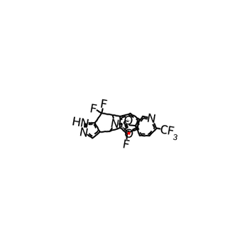 O=S(=O)(c1ccc(C(F)(F)F)nc1)N1C2c3cn[nH]c3C(F)(F)C1c1cccc(F)c12